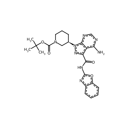 CC(C)(C)OC(=O)N1CCC[C@@H](n2nc(C(=O)Nc3nc4ccccc4o3)c3c(N)ncnc32)C1